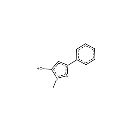 Cn1nc(-c2ccccc2)cc1O